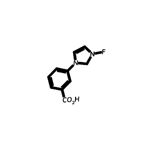 O=C(O)c1cccc(N2C=CN(F)C2)c1